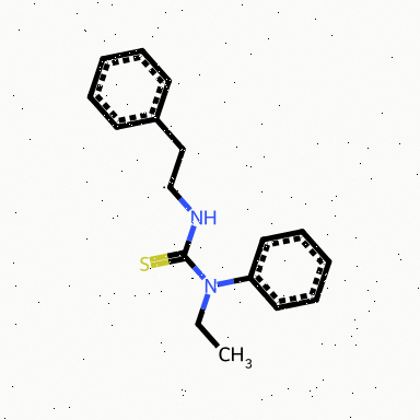 CCN(C(=S)N[CH]Cc1ccccc1)c1ccccc1